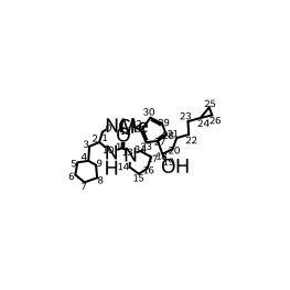 CNCC(CC1CCCCC1)NC(=O)N1CCC[C@@H](C(O)(CCCCC2CC2)c2cccc(Cl)c2)C1